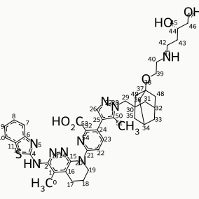 Cc1c(Nc2nc3ccccc3s2)nnc2c1CCCN2c1ccc(-c2cnn(CC34CC5CC(C3)CC(OCCNCC[C@H](O)CO)(C5)C4)c2C)c(C(=O)O)n1